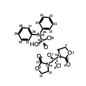 O=C1OCCN1P(=O)(Cl)N1CCOC1=O.O=P(O)(Cl)N(c1ccccc1)c1ccccc1